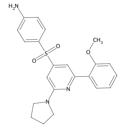 COc1ccccc1-c1cc(S(=O)(=O)c2ccc(N)cc2)cc(N2CCCC2)n1